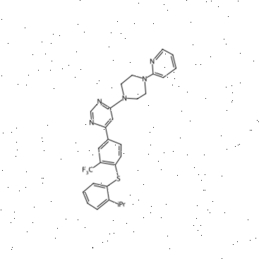 CC(C)c1ccccc1Sc1ccc(-c2cc(N3CCN(c4ccccn4)CC3)ncn2)cc1C(F)(F)F